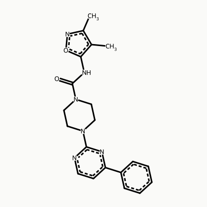 Cc1noc(NC(=O)N2CCN(c3nccc(-c4ccccc4)n3)CC2)c1C